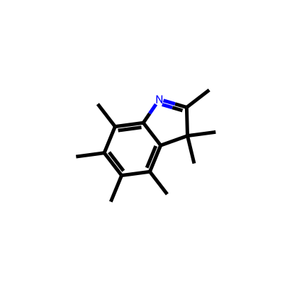 CC1=Nc2c(C)c(C)c(C)c(C)c2C1(C)C